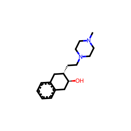 CN1CCN(CC[C@H]2Cc3ccccc3C[C@@H]2O)CC1